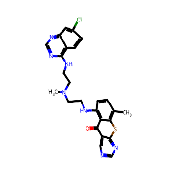 Cc1ccc(NCCN(C)CCNc2ncnc3cc(Cl)ccc23)c2c(=O)c3cncnc3sc12